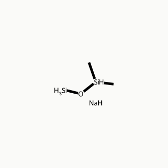 C[SiH](C)O[SiH3].[NaH]